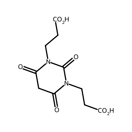 O=C(O)CCN1C(=O)CC(=O)N(CCC(=O)O)C1=O